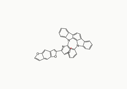 c1ccc(-n2c3ccccc3c3ccc4c5ccccc5n(-c5cccc(-c6cc7cc8occc8cc7o6)n5)c4c32)cc1